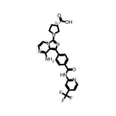 Nc1nccn2c(N3CC[C@H](C(=O)O)C3)nc(-c3ccc(C(=O)Nc4cc(C(F)(F)F)ccn4)cc3)c12